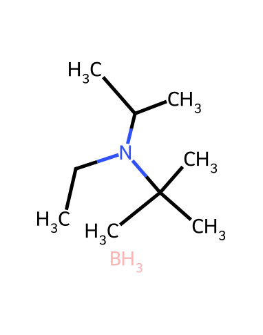 B.CCN(C(C)C)C(C)(C)C